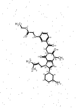 CCOC(=O)COc1cccc(C(=O)Cn2c(=O)c3c(nc(N4CCCC(N)C4)n3CC=C(C)C)n(C)c2=O)c1